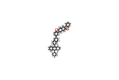 c1ccc(-c2c3ccccc3c(-c3ccc4cc(-c5ccc6oc7cc8cc9c(cc8cc7c6c5)oc5ccccc59)ccc4c3)c3ccccc23)cc1